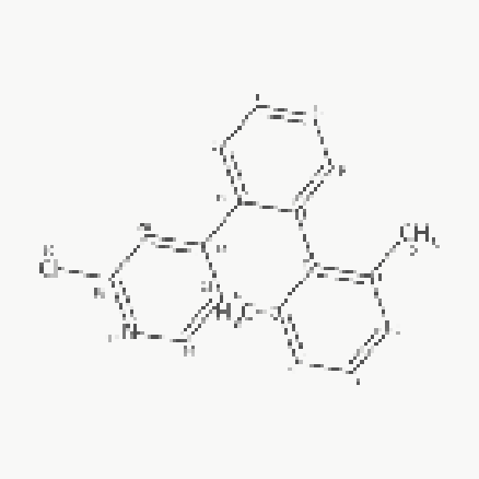 Cc1cccc(C)c1-c1ccccc1-c1ccnc(Cl)c1